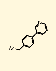 CC(=O)Cc1ccc(-c2cccnc2)cc1